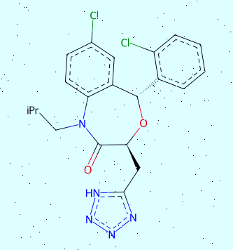 CC(C)CN1C(=O)[C@H](Cc2nnn[nH]2)O[C@@H](c2ccccc2Cl)c2cc(Cl)ccc21